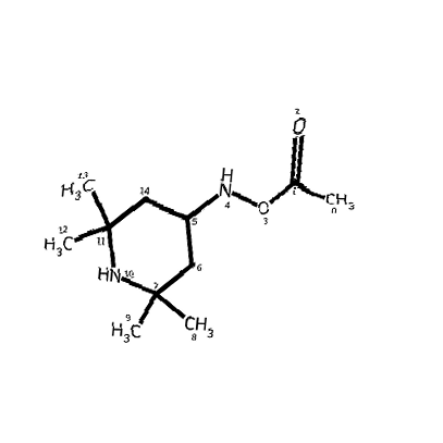 CC(=O)ONC1CC(C)(C)NC(C)(C)C1